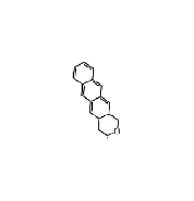 [CH]1CC2C=c3cc4ccccc4cc3=CC2CO1